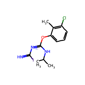 Cc1c(Cl)cccc1O/C(=N/C(=N)I)NC(C)C